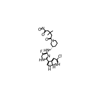 CC(C)(CC(=O)N=O)CC(=O)N1CCC[C@H](CNC2=C(F)CNC(C3=CN[C@@H]4NC=C(Cl)C=C34)=N2)C1